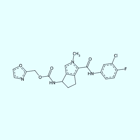 Cn1cc2c(c1C(=O)Nc1ccc(F)c(Cl)c1)CCC2NC(=O)OCc1ncco1